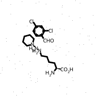 NCCCC[C@H](N)C(=O)O.NN1CCCCC1.O=Cc1ccc(Cl)cc1Cl